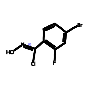 O/N=C(\Cl)c1ccc(Br)cc1F